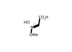 CO/N=C/C(=O)O.Cl